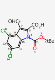 CC(C)(C)OC(=O)n1c(C(=O)O)c(C=O)c2c(Cl)cc(Cl)cc21